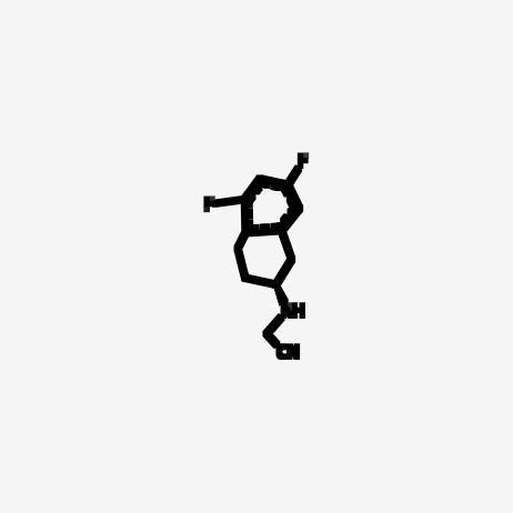 N#CCN[C@H]1CCc2c(F)cc(F)cc2C1